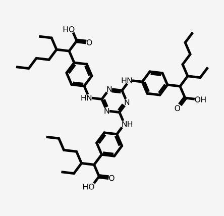 CCCCC(CC)C(C(=O)O)c1ccc(Nc2nc(Nc3ccc(C(C(=O)O)C(CC)CCCC)cc3)nc(Nc3ccc(C(C(=O)O)C(CC)CCCC)cc3)n2)cc1